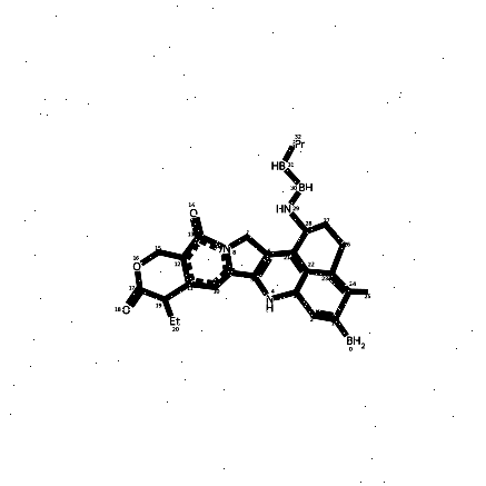 BC1=CC2NC3=C(Cn4c3cc3c(c4=O)COC(=O)C3CC)C3=C2C(=C1C)CCC3NBBC(C)C